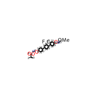 C=C(C)C(=O)O/C=C\Oc1ccc(-c2ccc(-c3ccc(O/C=C\OC)cc3C(F)(F)F)cc2)cc1